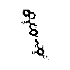 Cc1cc(Cl)c(OCCOc2ccc(CC(C=O)C(N)N3CCCc4ccccc43)cc2)c(Cl)c1